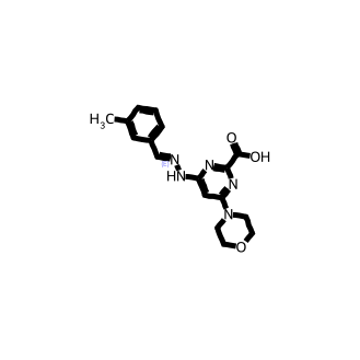 Cc1cccc(/C=N/Nc2cc(N3CCOCC3)nc(C(=O)O)n2)c1